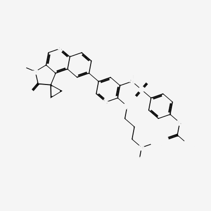 CC(=O)Nc1ccc(S(=O)(=O)Nc2cc(-c3ccc4ncc5c(c4c3)C3(CC3)C(=O)N5C)cnc2OCCCN(C)C)cc1